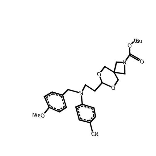 COc1ccc(CN(CCC2OCC3(CO2)CN(C(=O)OC(C)(C)C)C3)c2ccc(C#N)cc2)cc1